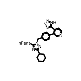 CCCCCc1nc(C2CCCCC2)nn1Cc1ccc(-c2cnccc2-c2nnn[nH]2)cc1